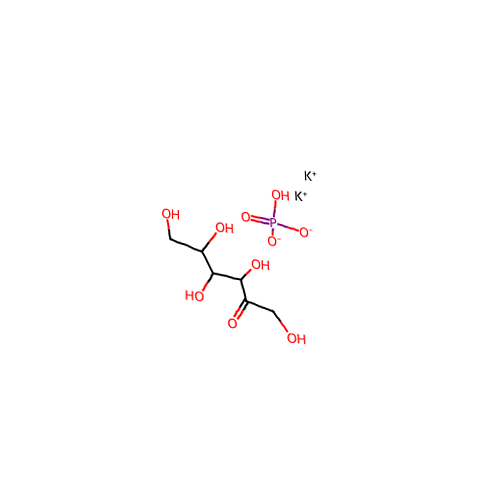 O=C(CO)C(O)C(O)C(O)CO.O=P([O-])([O-])O.[K+].[K+]